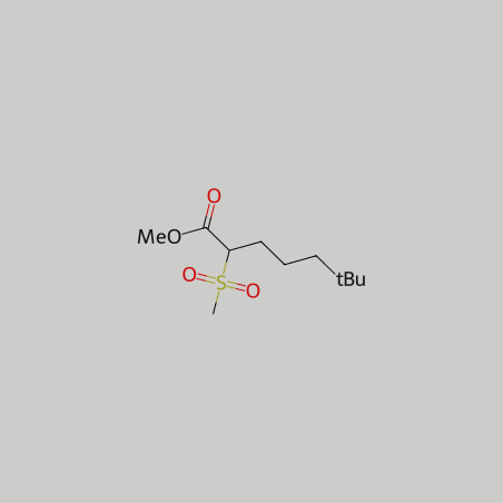 COC(=O)C(CCCC(C)(C)C)S(C)(=O)=O